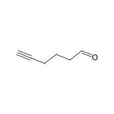 C#CCCCC=O